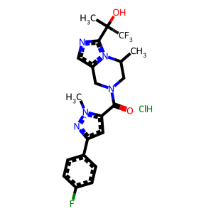 CC1CN(C(=O)c2cc(-c3ccc(F)cc3)nn2C)Cc2cnc(C(C)(O)C(F)(F)F)n21.Cl